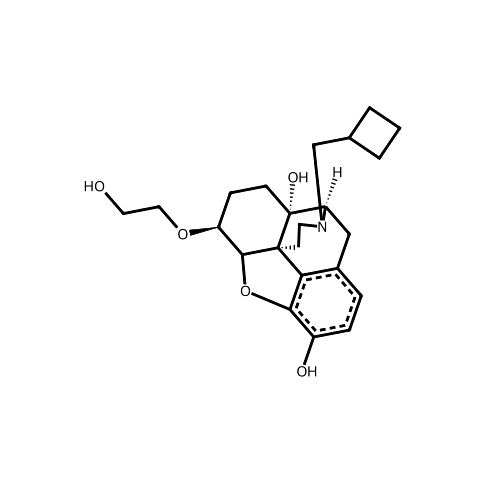 OCCO[C@H]1CC[C@@]2(O)[C@H]3Cc4ccc(O)c5c4[C@@]2(CCN3CC2CCC2)C1O5